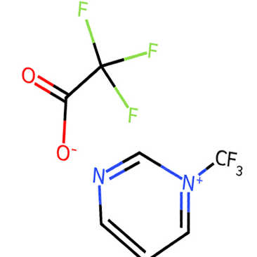 FC(F)(F)[n+]1cccnc1.O=C([O-])C(F)(F)F